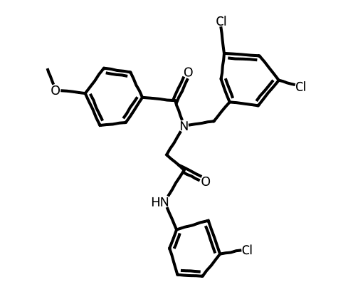 COc1ccc(C(=O)N(CC(=O)Nc2cccc(Cl)c2)Cc2cc(Cl)cc(Cl)c2)cc1